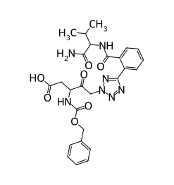 CC(C)C(NC(=O)c1ccccc1-c1nnn(CC(=O)C(CC(=O)O)NC(=O)OCc2ccccc2)n1)C(N)=O